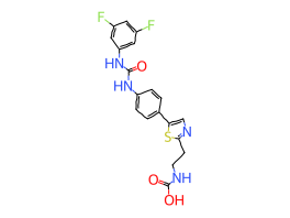 O=C(O)NCCc1ncc(-c2ccc(NC(=O)Nc3cc(F)cc(F)c3)cc2)s1